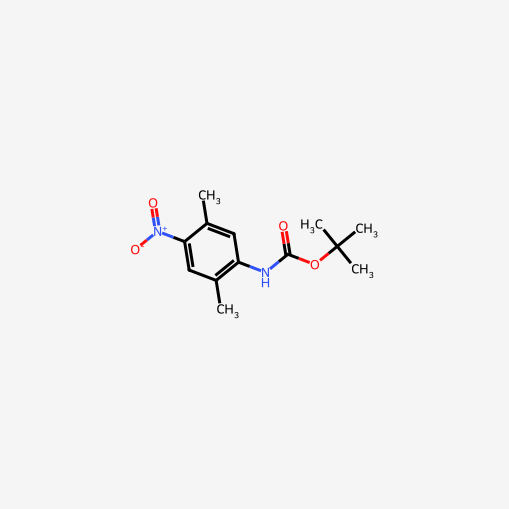 Cc1cc([N+](=O)[O-])c(C)cc1NC(=O)OC(C)(C)C